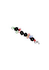 COc1ccc(CNS(=O)(=O)c2ccc(-c3ccc(OC(=O)c4ccc(Cl)cc4Cl)cc3)cc2)cc1